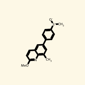 COc1ccc2cc(-c3ccc([S+](C)[O-])cc3)cc(C)c2n1